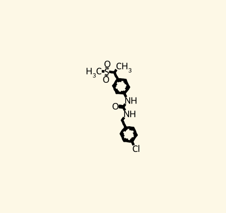 CC(c1ccc(NC(=O)NCc2ccc(Cl)cc2)cc1)S(C)(=O)=O